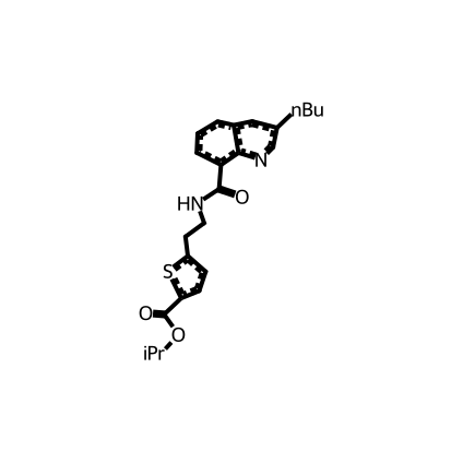 CCCCc1cnc2c(C(=O)NCCc3ccc(C(=O)OC(C)C)s3)cccc2c1